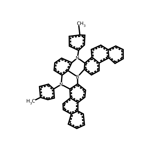 Cc1ccc(N2c3cccc4c3B(c3ccc5c(ccc6ccccc65)c32)c2ccc3c(ccc5ccccc53)c2N4c2ccc(C)cc2)cc1